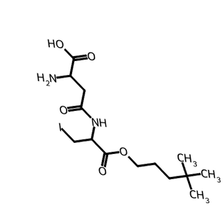 CC(C)(C)CCCOC(=O)C(CI)NC(=O)CC(N)C(=O)O